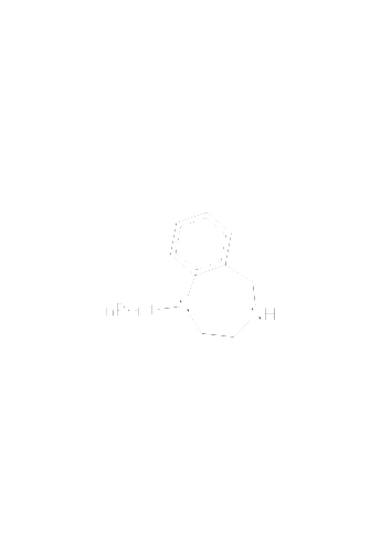 CCCCCN1CCNCc2ccccc21